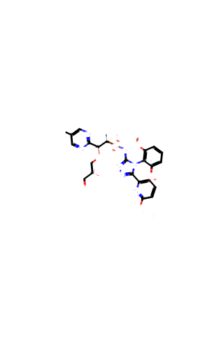 COc1cccc(-c2nnc(NS(=O)(=O)[C@H](C)[C@@H](OC[C@@H](O)CO)c3ncc(C)cn3)n2-c2c(OC)cccc2OC)n1